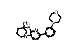 c1cc(-c2ccc3c(n2)N[C@H]2CCCN3C2)cc(N2CCOCC2)c1